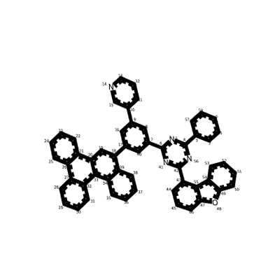 c1ccc(-c2nc(-c3cc(-c4cccnc4)cc(-c4cc5c6ccccc6c6ccccc6c5c5ccccc45)c3)nc(-c3cccc4oc5ccccc5c34)n2)cc1